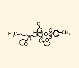 CCCCC[C@@H](C=C[C@@H]1[C@H]2CC(=O)C[C@@]2(COS(=O)(=O)c2ccc(C)cc2)C[C@H]1OC1CCCCO1)OC1CCCCO1